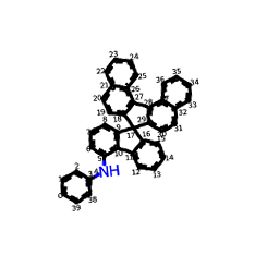 c1ccc(Nc2cccc3c2-c2ccccc2C32c3ccc4ccccc4c3-c3c2ccc2ccccc32)cc1